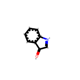 O=C1[C]=Nc2ccccc21